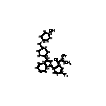 CC(C)N(C)C(=O)c1cc(F)ccc1-n1cc(C2CCN(C[C@H]3CC[C@@H](O)CC3)CC2)c2ccncc21